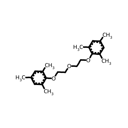 Cc1cc(C)c(OCCOCCOc2c(C)cc(C)cc2C)c(C)c1